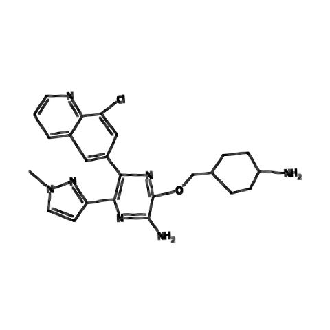 Cn1ccc(-c2nc(N)c(OCC3CCC(N)CC3)nc2-c2cc(Cl)c3ncccc3c2)n1